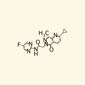 Cc1nn(CC(=O)Nc2ncc(F)cn2)c(=O)c2ccc(C3CC3)nc12